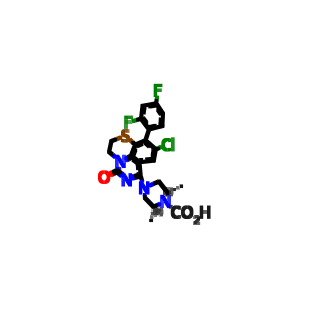 C[C@@H]1CN(c2nc(=O)n3c4c(c(-c5ccc(F)cc5F)c(Cl)cc24)SCC3)C[C@H](C)N1C(=O)O